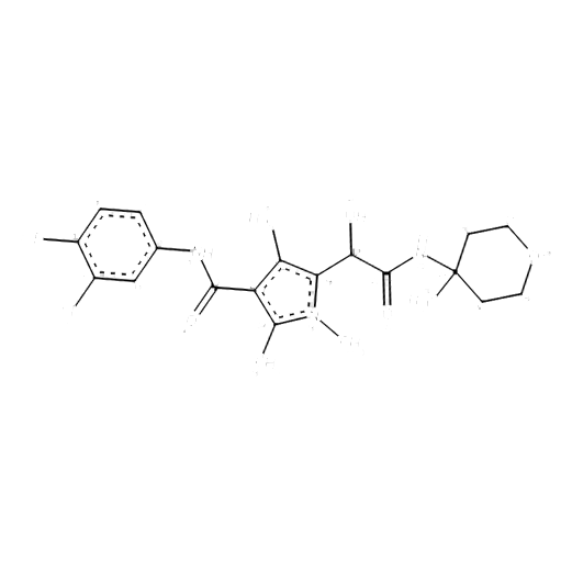 Cc1c(C(=O)Nc2ccc(F)c(Cl)c2)c(C)n(C)c1C(O)C(=O)NC1(C)CCOCC1